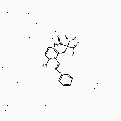 Nc1ccc(N)c(CC([N+](=O)[O-])([N+](=O)[O-])[N+](=O)[O-])c1C=Cc1ccccc1